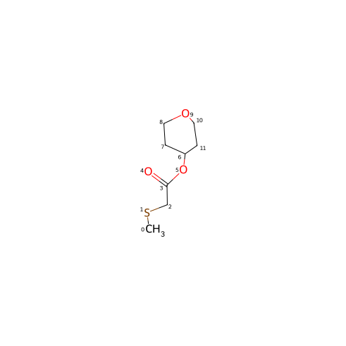 CSCC(=O)OC1CCOCC1